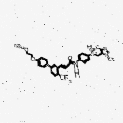 CCCCOCCOc1ccc(-c2ccc(C(F)(F)F)c(/C=C/C(=O)Nc3ccc([S@@+]([O-])Cc4c(C)ncn4CC)cc3)c2)cc1